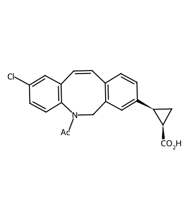 CC(=O)N1Cc2cc([C@H]3C[C@H]3C(=O)O)ccc2/C=C\c2cc(Cl)ccc21